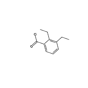 CCc1cccc(C(=O)Cl)c1CC